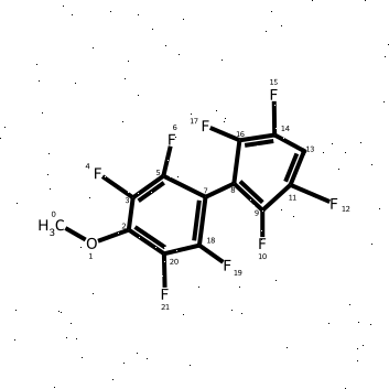 COc1c(F)c(F)c(-c2c(F)c(F)[c]c(F)c2F)c(F)c1F